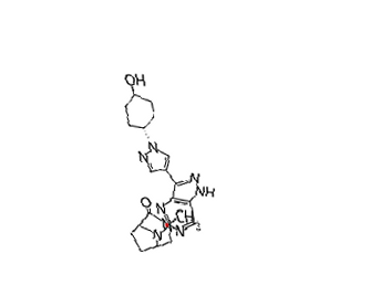 CN1CC2CCC(C1=O)N2c1ncc2[nH]nc(-c3cnn([C@H]4CC[C@H](O)CC4)c3)c2n1